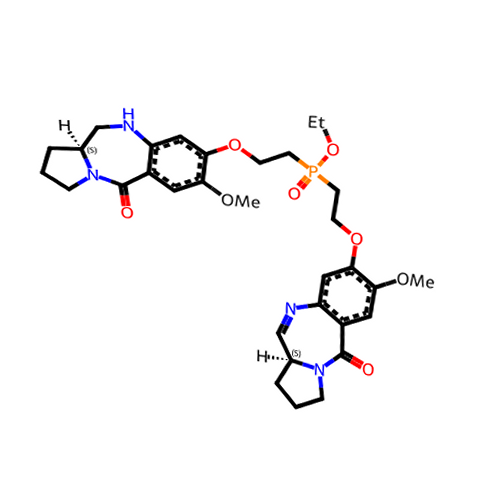 CCOP(=O)(CCOc1cc2c(cc1OC)C(=O)N1CCC[C@H]1C=N2)CCOc1cc2c(cc1OC)C(=O)N1CCC[C@H]1CN2